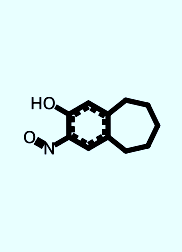 O=Nc1cc2c(cc1O)CCCCC2